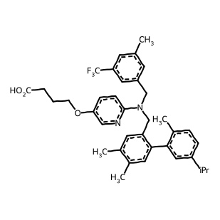 Cc1cc(CN(Cc2cc(C)c(C)cc2-c2cc(C(C)C)ccc2C)c2ccc(OCCCC(=O)O)cn2)cc(C(F)(F)F)c1